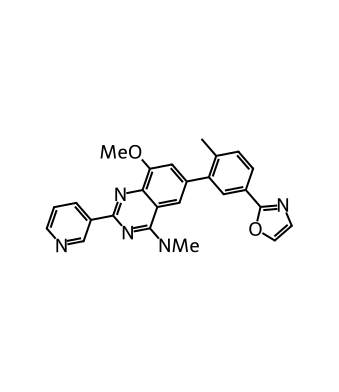 CNc1nc(-c2cccnc2)nc2c(OC)cc(-c3cc(-c4ncco4)ccc3C)cc12